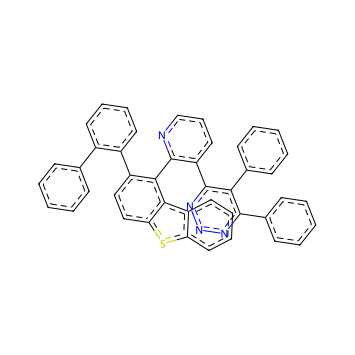 c1ccc(-c2ccccc2-c2ccc3sc4ccccc4c3c2-c2ncccc2-c2nnnc(-c3ccccc3)c2-c2ccccc2)cc1